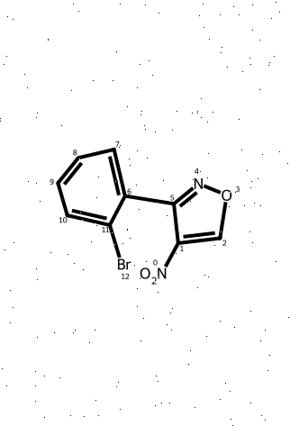 O=[N+]([O-])c1conc1-c1ccccc1Br